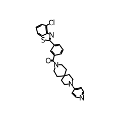 O=C(c1cccc(-c2nc3c(Cl)cccc3s2)c1)N1CCC2(CC1)CCN(c1ccncc1)CC2